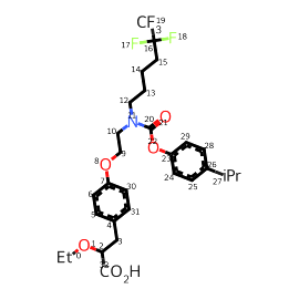 CCOC(Cc1ccc(OCCN(CCCCC(F)(F)C(F)(F)F)C(=O)Oc2ccc(C(C)C)cc2)cc1)C(=O)O